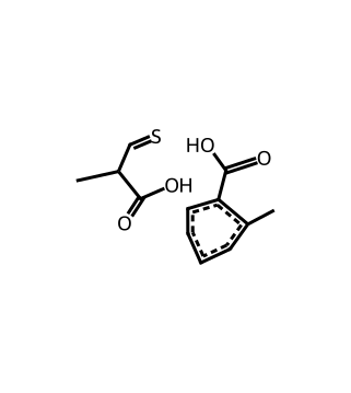 CC(C=S)C(=O)O.Cc1ccccc1C(=O)O